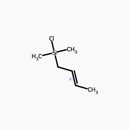 C/C=C/C[Si](C)(C)Cl